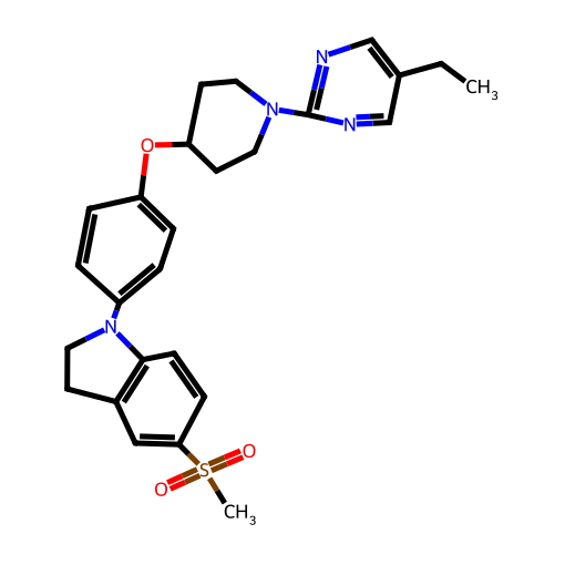 CCc1cnc(N2CCC(Oc3ccc(N4CCc5cc(S(C)(=O)=O)ccc54)cc3)CC2)nc1